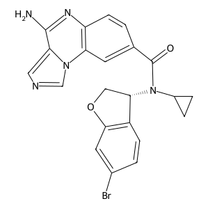 Nc1nc2ccc(C(=O)N(C3CC3)[C@H]3COc4cc(Br)ccc43)cc2n2cncc12